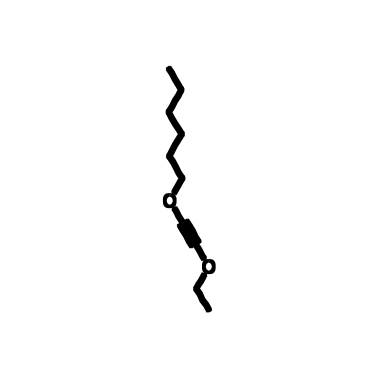 CCCCCCOC#COCC